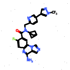 Nc1nc2cc(F)c(C(=O)N(Cc3ccc(-c4cnn(C(F)(F)F)c4)cn3)C34CC(C3)C4)cc2n2cncc12